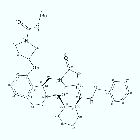 CC(C)(C)OC(=O)N1CCC(Oc2cccc3c2[C@@H](CN2CCCC2=O)N(C(=O)[C@@H]2CCCC[C@@H]2C(=O)OCc2ccccc2)CC3)C1